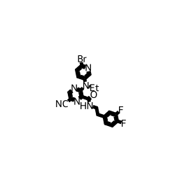 CCN(c1ccc(Br)nc1)c1ncc(C#N)nc1C(=O)NCCc1ccc(F)c(F)c1